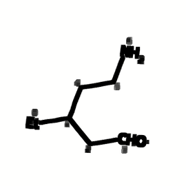 CCC(C[C]=O)CCN